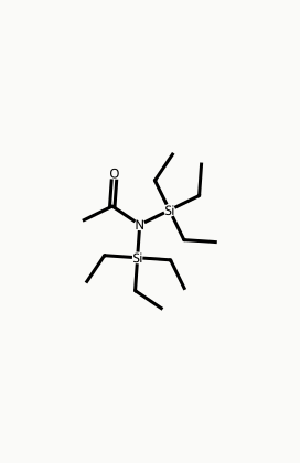 CC[Si](CC)(CC)N(C(C)=O)[Si](CC)(CC)CC